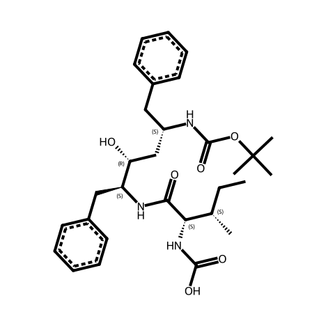 CC[C@H](C)[C@H](NC(=O)O)C(=O)N[C@@H](Cc1ccccc1)[C@H](O)C[C@H](Cc1ccccc1)NC(=O)OC(C)(C)C